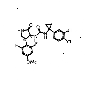 COc1cc(F)c([C@@H]2CNC(=O)[C@H]2NC(=O)NC2(c3ccc(Cl)c(Cl)c3)CC2)c(F)c1